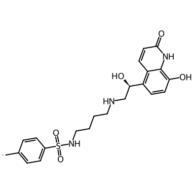 [CH2]c1ccc(S(=O)(=O)NCCCCNC[C@@H](O)c2ccc(O)c3[nH]c(=O)ccc23)cc1